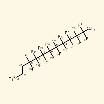 FC(F)(F)C(F)(F)C(F)(F)C(F)(F)C(F)(F)C(F)(F)C(F)(F)C(F)(F)C(F)(F)C(F)(F)CC[SiH3]